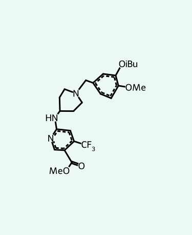 COC(=O)c1cnc(NC2CCN(Cc3ccc(OC)c(OCC(C)C)c3)CC2)cc1C(F)(F)F